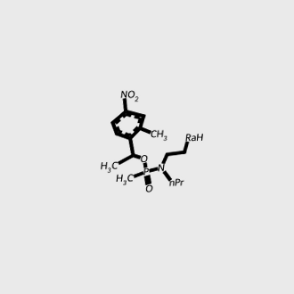 CCCN(C[CH2][RaH])P(C)(=O)OC(C)c1ccc([N+](=O)[O-])cc1C